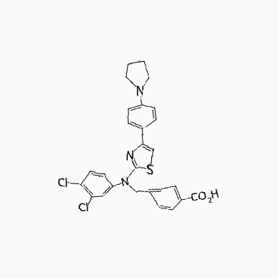 O=C(O)c1ccc(CN(c2ccc(Cl)c(Cl)c2)c2nc(-c3ccc(N4CCCC4)cc3)cs2)cc1